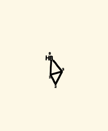 B1C2CC12